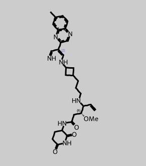 C=CC(NCCCC1CC(N/C=C(\C=N)c2cnc3ccc(C)cc3n2)C1)[C@@H](CC(=O)NC1CCC(=O)NC1=O)OC